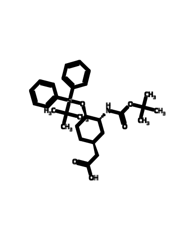 CC(C)(C)OC(=O)N[C@@H]1C[C@@H](CC(=O)O)CC[C@H]1O[Si](c1ccccc1)(c1ccccc1)C(C)(C)C